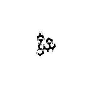 C/C=C(F)\C(=C(/C)C(=O)N(CC(F)F)[C@@H](C)CNc1ncc(C(F)(F)F)cn1)c1ncccn1